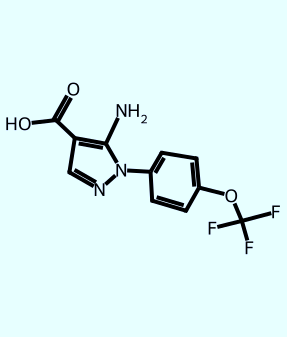 Nc1c(C(=O)O)cnn1-c1ccc(OC(F)(F)F)cc1